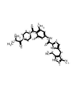 Cc1cc(NC(=O)c2ncc(Cc3c(C(F)(F)F)n[nH]c3CC#N)[nH]2)cc(F)c1C(=O)N1CCN(C(=O)[C@H](C)N)CC1